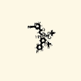 CC(C)(C)OC(=O)Nc1cc(OC(C)(C)C)c(-c2ccc(F)cc2)cc1NC(=O)CC(=O)c1ccnc(C#N)c1